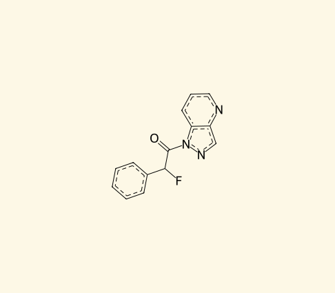 O=C(C(F)c1ccccc1)n1ncc2ncccc21